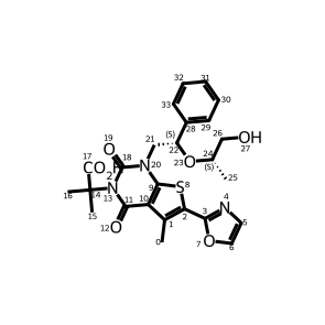 Cc1c(-c2ncco2)sc2c1c(=O)n(C(C)(C)C(=O)O)c(=O)n2C[C@@H](O[C@@H](C)CO)c1ccccc1